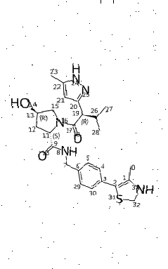 CC1=C(c2ccc(CNC(=O)[C@@H]3C[C@@H](O)CN3C(=O)[C@@H](c3cc(C)[nH]n3)C(C)C)cc2)SCN1